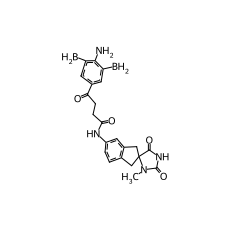 Bc1cc(C(=O)CCC(=O)Nc2ccc3c(c2)CC2(C3)C(=O)NC(=O)N2C)cc(B)c1N